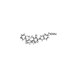 C=C(NC(=O)N1Cc2ccc(COC)cc2C1)/C(N)=C\C=C(/C)c1cccnc1